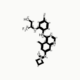 Cc1cc(N=S2(=O)CCC2)cc2ncnc(Nc3ccc(F)cc3O[C@H](CO)C(F)(F)F)c12